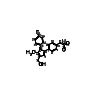 Cc1c(CO)cc(-c2ccc(C[SH](=O)=O)cc2)n1-c1ccc(F)cc1